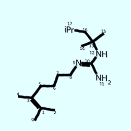 CC(C)=C(C)CCCCN=C(N)NC(C)(C)CC(C)C